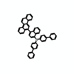 c1ccc(-c2ccc(N(c3ccc(-c4ccccc4)cc3)c3ccc(-c4cc5c6ccccc6ccc5c5ccccc45)c4ccccc34)cc2)cc1